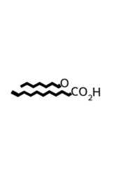 C=CCCCCCCCCC(=O)O.CCCCCCC=O